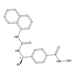 CC(C)[C@@H](NC(=O)Nc1cccc2ccccc12)c1ccc(C(=O)NO)cc1